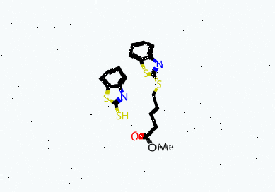 COC(=O)CCCCSc1nc2ccccc2s1.Sc1nc2ccccc2s1